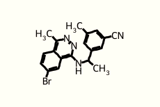 Cc1cc(C#N)cc(C(C)Nc2nnc(C)c3ccc(Br)cc23)c1